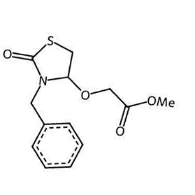 COC(=O)COC1CSC(=O)N1Cc1ccccc1